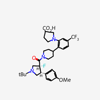 COc1ccc([C@@H]2CN(C(C)(C)C)C[C@@]2(F)C(=O)N2CCC(c3ccc(C(F)(F)F)cc3N3CCC(C(=O)O)C3)CC2)cc1